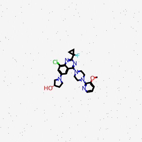 COc1cccnc1N1CCN(c2nc(C3(F)CC3)nc3c(Cl)cc(N4CC[C@H](O)C4)cc23)CC1